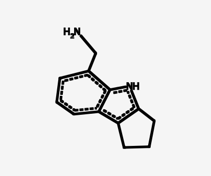 NCc1cccc2c3c([nH]c12)CCC3